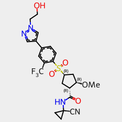 CO[C@@H]1C[C@H](S(=O)(=O)c2ccc(-c3cnn(CCO)c3)cc2C(F)(F)F)C[C@H]1C(=O)NC1(C#N)CC1